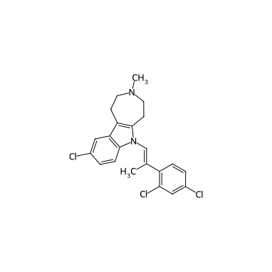 CC(=Cn1c2c(c3cc(Cl)ccc31)CCN(C)CC2)c1ccc(Cl)cc1Cl